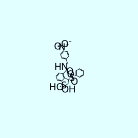 O=C(NCc1ccc([N+](=O)[O-])cc1)c1cccc2c1C(S(=O)(=O)c1ccccc1)CS2(O)O